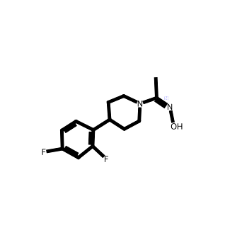 C/C(=N/O)N1CCC(c2ccc(F)cc2F)CC1